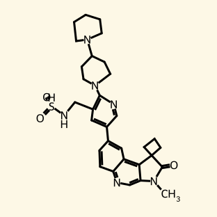 CN1C(=O)C2(CCC2)c2c1cnc1ccc(-c3cnc(N4CCC(N5CCCCC5)CC4)c(CN[SH](=O)=O)c3)cc21